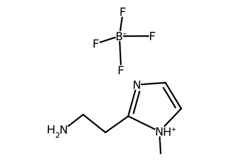 C[NH+]1C=CN=C1CCN.F[B-](F)(F)F